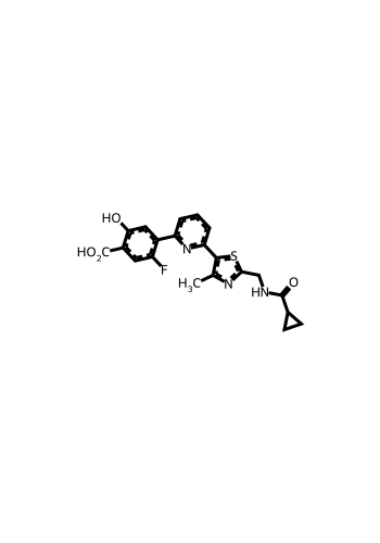 Cc1nc(CNC(=O)C2CC2)sc1-c1cccc(-c2cc(O)c(C(=O)O)cc2F)n1